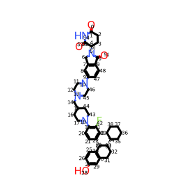 O=C1CC[C@H](N2Cc3cc(N4CCN(CC5CCN(c6ccc([C@H]7c8ccc(O)cc8CC[C@H]7C7CCCCC7)cc6F)CC5)CC4)ccc3C2=O)C(=O)N1